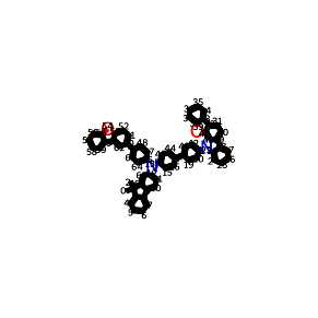 CC1(C)c2ccccc2-c2ccc(N(c3ccc(-c4ccc(-n5c6ccccc6c6ccc7c8ccccc8oc7c65)cc4)cc3)c3ccc(-c4ccc5oc6ccccc6c5c4)cc3)cc21